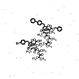 CC(OC(=O)NC(C)P(=O)(O)CC(Cc1ccc(-c2ccccc2)cc1)C(=O)NC(C)C(=O)OCc1ccccc1)OC(=O)C(C)C.CC(OC(=O)NC(C)P(=O)(O)CC(Cc1ccc(Br)cc1)C(=O)NC(C)C(=O)O)OC(=O)C(C)C